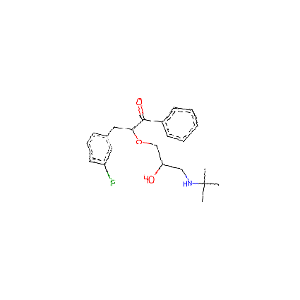 CC(C)(C)NCC(O)COC(Cc1cccc(F)c1)C(=O)c1ccccc1